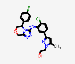 Cc1cc(-c2ccc(Cl)c(Nc3nnc4n3C(c3ccc(F)cc3)COC4)c2)nn1CCO